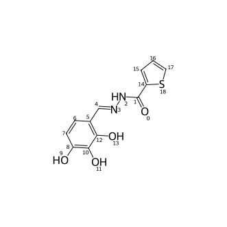 O=C(NN=Cc1ccc(O)c(O)c1O)c1cccs1